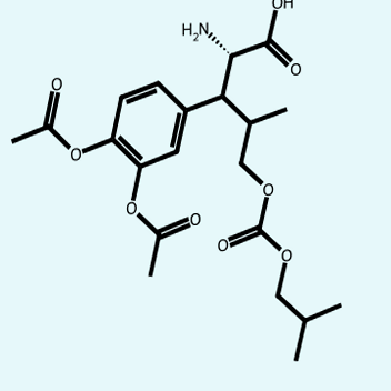 CC(=O)Oc1ccc(C(C(C)COC(=O)OCC(C)C)[C@H](N)C(=O)O)cc1OC(C)=O